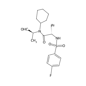 CC(C)[C@H](NS(=O)(=O)c1ccc(F)cc1)C(=O)N(C1CCCCC1)[C@@H](C)C=O